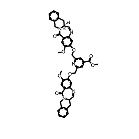 COC(=O)c1cc(COc2cc3c(cc2OC)C(=O)N2Cc4ccccc4CC2C=N3)nc(COc2cc3c(cc2OC)C(=O)N2Cc4ccccc4C[C@H]2C=N3)c1